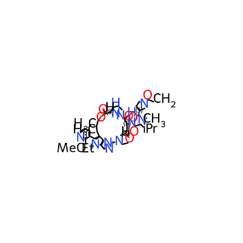 C=CC(=O)N1CC[C@H](C(=O)N(C)C(C(=O)N[C@H]2C[C@H]3CN(CCO3)c3ncc4c(n3)c(c(-c3cccnc3COC)n4CC)CC(C)(C)COC(=O)[C@@H]3CCCN(N3)C2=O)C(C)C)C1